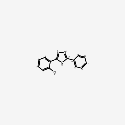 Clc1ccccc1-c1nnc(-c2ccccc2)s1